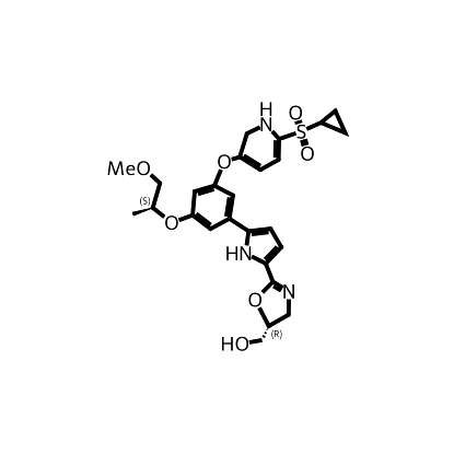 COC[C@H](C)Oc1cc(OC2=CC=C(S(=O)(=O)C3CC3)NC2)cc(-c2ccc(C3=NC[C@H](CO)O3)[nH]2)c1